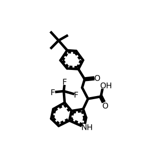 CC(C)(C)c1ccc(C(=O)CC(C(=O)O)c2c[nH]c3cccc(C(F)(F)F)c23)cc1